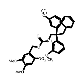 COc1cc(COC(=O)NCC(Cc2ccccc2)(c2cccc(OC(F)(F)F)c2)c2cccc(OC(F)(F)F)c2)c([N+](=O)[O-])cc1OC